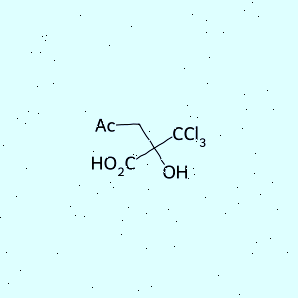 CC(=O)CC(O)(C(=O)O)C(Cl)(Cl)Cl